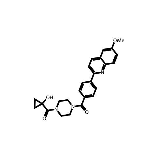 COc1ccc2nc(-c3ccc(C(=O)N4CCN(C(=O)C5(O)CC5)CC4)cc3)ccc2c1